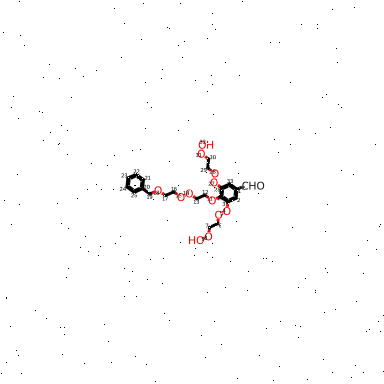 O=Cc1cc(OOCCOO)c(OCCOOCCOCc2ccccc2)c(OOCCOO)c1